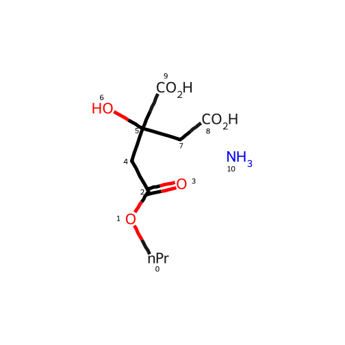 CCCOC(=O)CC(O)(CC(=O)O)C(=O)O.N